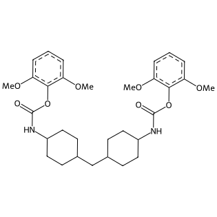 COc1cccc(OC)c1OC(=O)NC1CCC(CC2CCC(NC(=O)Oc3c(OC)cccc3OC)CC2)CC1